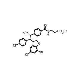 CCC[C@H](c1ccc(C(=O)NCCC(=O)OCC)cc1)C(c1ccc(Cl)cc1)C1CSc2c(Br)cc(Cl)cc21